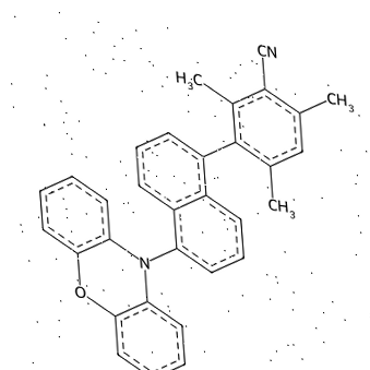 Cc1cc(C)c(-c2cccc3c(N4c5ccccc5Oc5ccccc54)cccc23)c(C)c1C#N